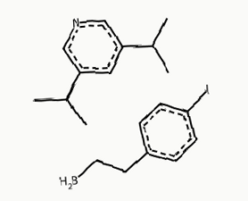 BCCc1ccc(I)cc1.CC(C)c1cncc(C(C)C)c1